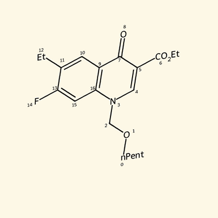 CCCCCOCn1cc(C(=O)OCC)c(=O)c2cc(CC)c(F)cc21